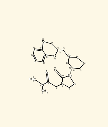 CN(C)C(=O)CN1CCN([C@H]2CCCN(C[C@H]3COc4ccccc4O3)C2)C1=O